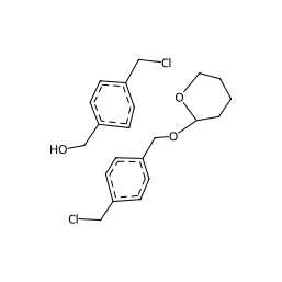 ClCc1ccc(COC2CCCCO2)cc1.OCc1ccc(CCl)cc1